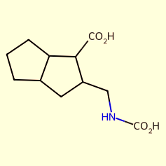 O=C(O)NCC1CC2CCCC2C1C(=O)O